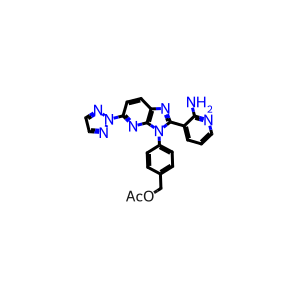 CC(=O)OCc1ccc(-n2c(-c3cccnc3N)nc3ccc(-n4nccn4)nc32)cc1